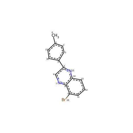 Cc1ccc(-c2cnc3c(Br)cccc3n2)cc1